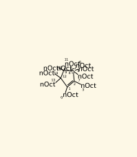 CCCCCCCCC1=C(CCCCCCCC)S(CCCCCCCC)(CCCCCCCC)(CCCCCCCC)(CCCCCCCC)C(CCCCCCCC)(CCCCCCCC)C1(CCCCCCCC)CCCCCCCC